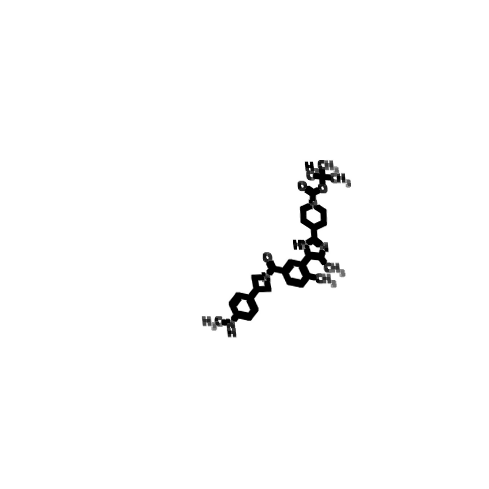 CNc1ccc(C2CN(C(=O)c3ccc(C)c(-c4[nH]c(C5CCN(C(=O)OC(C)(C)C)CC5)nc4C)c3)C2)cc1